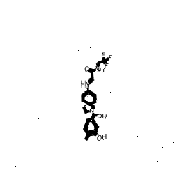 Cc1ccc(C(O)N2CC[C@]3(CC[C@H](NCC(=O)NCC(F)(F)F)CC3)C2)cc1O